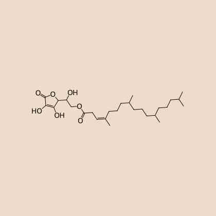 CC(=CCC(=O)OCC(O)C1OC(=O)C(O)=C1O)CCCC(C)CCCC(C)CCCC(C)C